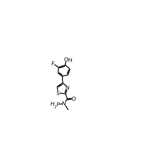 CN(P)C(=O)c1nc(-c2ccc(O)c(F)c2)cs1